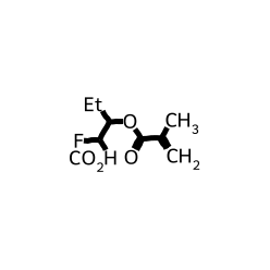 C=C(C)C(=O)OC(CC)C(F)C(=O)O